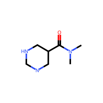 CN(C)C(=O)C1C[N]CNC1